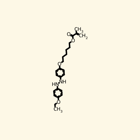 C=C(C)C(=O)OCCCCCCOc1ccc(NNc2ccc(OCC)cc2)cc1